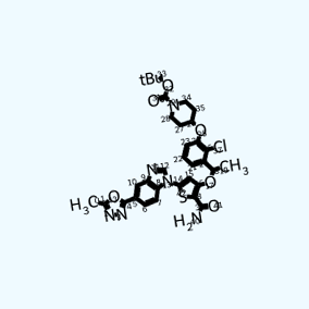 Cc1nnc(-c2ccc3c(c2)ncn3-c2cc(OC(C)c3cccc(OC4CCN(C(=O)OC(C)(C)C)CC4)c3Cl)c(C(N)=O)s2)o1